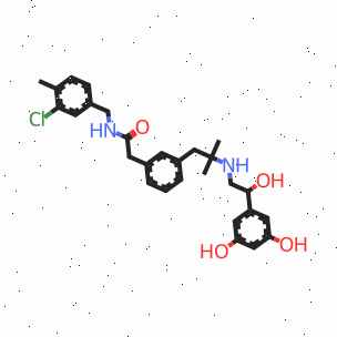 Cc1ccc(CNC(=O)Cc2cccc(CC(C)(C)NCC(O)c3cc(O)cc(O)c3)c2)cc1Cl